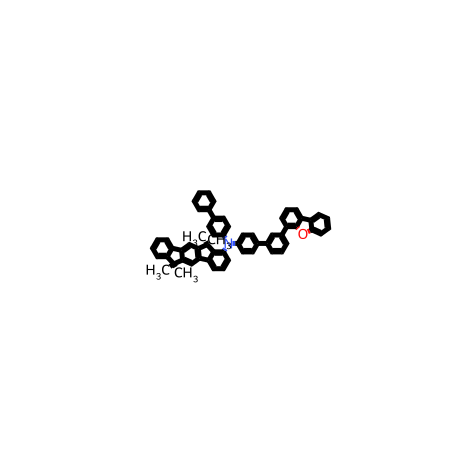 CC1(C)c2ccccc2-c2cc3c(cc21)-c1cccc(N(c2ccc(-c4ccccc4)cc2)c2ccc(-c4cccc(-c5cccc6c5oc5ccccc56)c4)cc2)c1C3(C)C